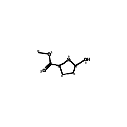 COC(=O)C1CCC(O)[N]1